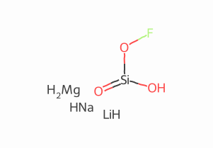 O=[Si](O)OF.[LiH].[MgH2].[NaH]